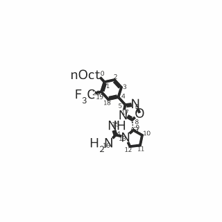 CCCCCCCCc1ccc(-c2noc([C@@H]3CCCN3C(=N)N)n2)cc1C(F)(F)F